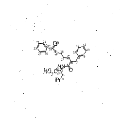 CC(C)C[C@H](NC(=O)[C@H](Cc1ccccc1)SCCSC(=O)c1ccccc1)C(=O)O